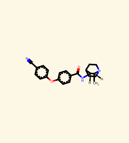 C[C@@H]1[C@H](NC(=O)c2ccc(Oc3ccc(C#N)cc3)cc2)C2CCN1CC2